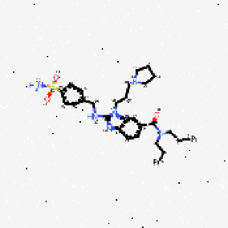 CC(C)CCN(CCC(C)C)C(=O)c1ccc2nc(NCc3ccc(S(N)(=O)=O)cc3)n(CCCN3CCCC3)c2c1